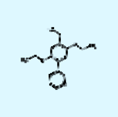 CCOc1cc(-c2cccnc2)c(OCC)cc1CC